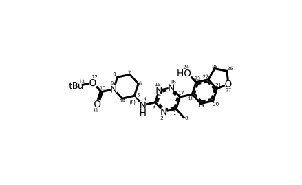 Cc1nc(N[C@@H]2CCCN(C(=O)OC(C)(C)C)C2)nnc1-c1ccc2c(c1O)CCO2